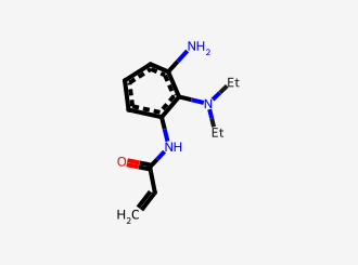 C=CC(=O)Nc1cccc(N)c1N(CC)CC